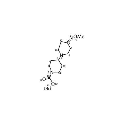 CON=C1CCN(C2CCN(C(=O)OC(C)(C)C)CC2)CC1